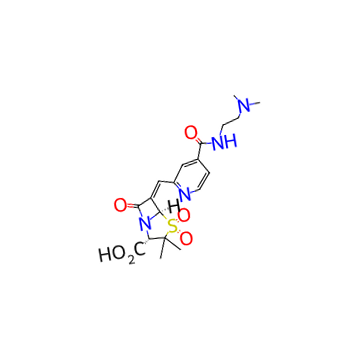 CN(C)CCNC(=O)c1ccnc(/C=C2/C(=O)N3[C@@H](C(=O)O)C(C)(C)S(=O)(=O)[C@H]23)c1